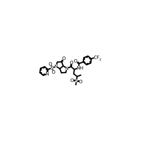 CC(CC(NC(=O)c1ccc(C(F)(F)F)cc1)C(=O)N1CCC2C1C(=O)CN2S(=O)(=O)c1ccccn1)S(C)(=O)=O